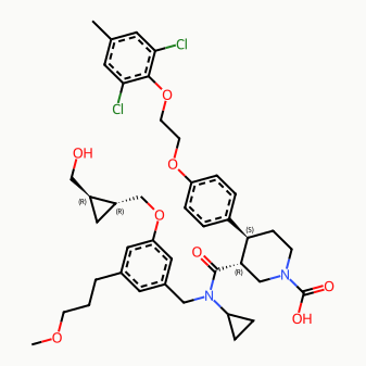 COCCCc1cc(CN(C(=O)[C@H]2CN(C(=O)O)CC[C@@H]2c2ccc(OCCOc3c(Cl)cc(C)cc3Cl)cc2)C2CC2)cc(OC[C@@H]2C[C@H]2CO)c1